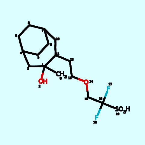 CC1(O)CC2CCC(CC2)CC1CCOCC(F)(F)S(=O)(=O)O